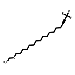 CCSCCCCCCCCCCCCCCC#CC(F)(F)F